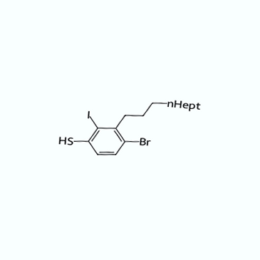 CCCCCCCCCCc1c(Br)ccc(S)c1I